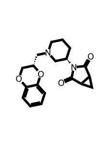 O=C1C2CC2C(=O)N1[C@H]1CCCN(C[C@H]2COc3ccccc3O2)C1